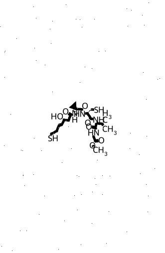 COC(=O)CNC(=O)C(NC(=O)[C@@H](CS)NC(=O)C1(NC(=O)C[C@H](O)/C=C/CCS)CC1)C(C)C